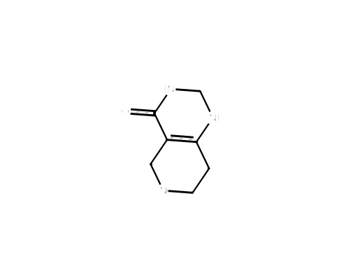 O=C1NCNC2=C1CNCC2